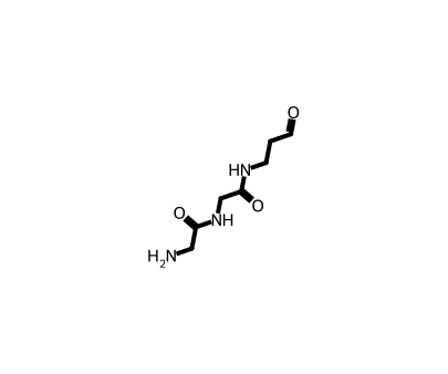 NCC(=O)NCC(=O)NCCC=O